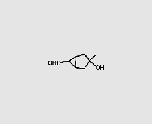 CC1(O)CC2C(C=O)C2C1